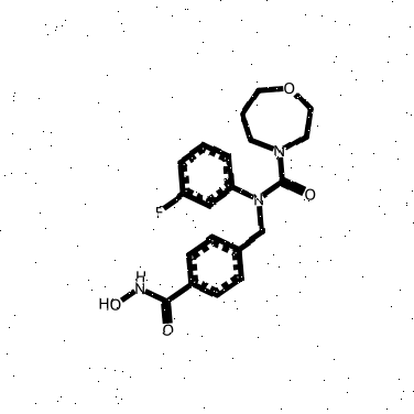 O=C(NO)c1ccc(CN(C(=O)N2CCCOCC2)c2cccc(F)c2)cc1